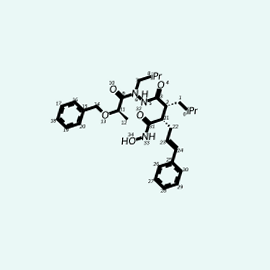 CC(C)C[C@@H](C(=O)NN(CC(C)C)C(=O)[C@@H](C)OCc1ccccc1)[C@H](CC=Cc1ccccc1)C(=O)NO